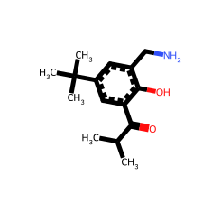 CC(C)C(=O)c1cc(C(C)(C)C)cc(CN)c1O